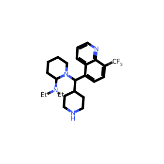 CCN(CC)C1CCCCN1C(c1ccc(C(F)(F)F)c2ncccc12)C1CCNCC1